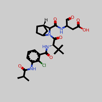 CC(C)C(=O)Nc1cccc(C(=O)N[C@H](C(=O)N2C3CC[C@@H](C3)C2C(=O)NC(C=O)CC(=O)O)C(C)(C)C)c1Cl